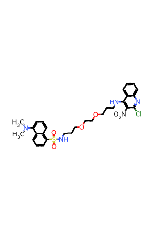 CN(C)c1cccc2c(S(=O)(=O)NCCCOCCOCCCNc3c([N+](=O)[O-])c(Cl)nc4ccccc34)cccc12